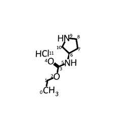 CCOC(=O)N[C@@H]1CCNC1.Cl